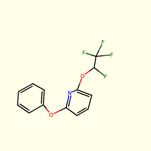 FC(Oc1cccc(Oc2ccccc2)n1)C(F)(F)F